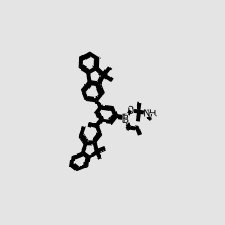 C=C(/C=C1\C(=C/C)c2ccccc2C1(C)C)c1cc(B(CCC)OC(C)(C)NC)cc(-c2ccc3c(c2)C(C)(C)c2ccccc2-3)c1